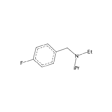 CCN(Cc1ccc(F)cc1)C(C)C